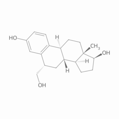 C[C@]12CC[C@@H]3c4ccc(O)cc4[C@@H](CO)C[C@H]3[C@@H]1CC[C@@H]2O